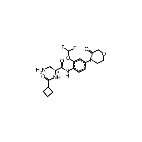 NC[C@H](NC(=O)C1CCC1)C(=O)Nc1ccc(N2CCOCC2=O)cc1OC(F)F